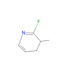 CC1CC=CN=C1F